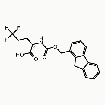 O=C(N[C@H](CCC(F)(F)F)C(=O)O)OCc1cccc2c1Cc1ccccc1-2